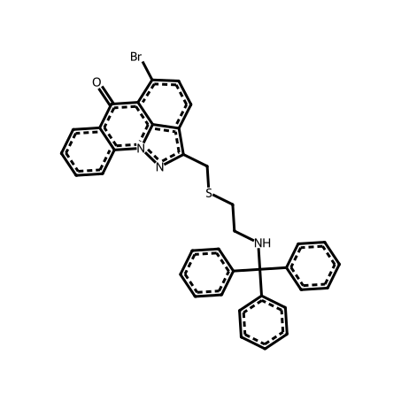 O=c1c2ccccc2n2nc(CSCCNC(c3ccccc3)(c3ccccc3)c3ccccc3)c3ccc(Br)c1c32